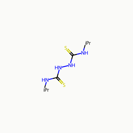 CC(C)NC(=S)NNC(=S)NC(C)C